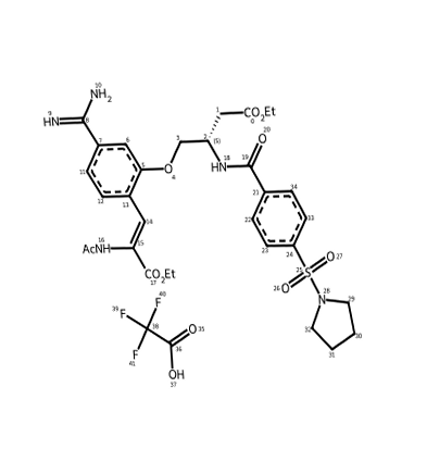 CCOC(=O)C[C@@H](COc1cc(C(=N)N)ccc1C=C(NC(C)=O)C(=O)OCC)NC(=O)c1ccc(S(=O)(=O)N2CCCC2)cc1.O=C(O)C(F)(F)F